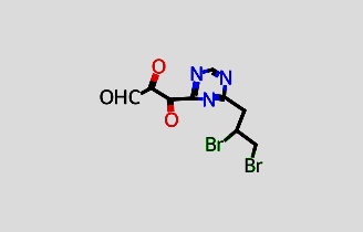 O=CC(=O)C(=O)c1ncnc(CC(Br)CBr)n1